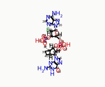 Nc1nc2c(ncn2[C@H]2[C@@H]3OP(=O)(O)OC[C@H]4O[C@@H](n5cnc6c(N)ncnc65)[C@H](F)[C@@H]4OP(=O)(O)OC[C@]4(CC[C@H]24)[C@H]3O)c(=O)[nH]1